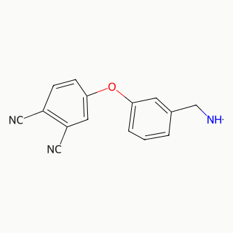 N#Cc1ccc(Oc2cccc(C[NH])c2)cc1C#N